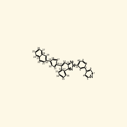 c1cc(-c2ccncc2)cc(-n2nc3cc(-c4ccc(-c5ccc6ccccc6c5)cc4)c4ccccc4c3n2)c1